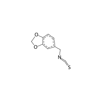 S=C=NCc1ccc2c(c1)OCO2